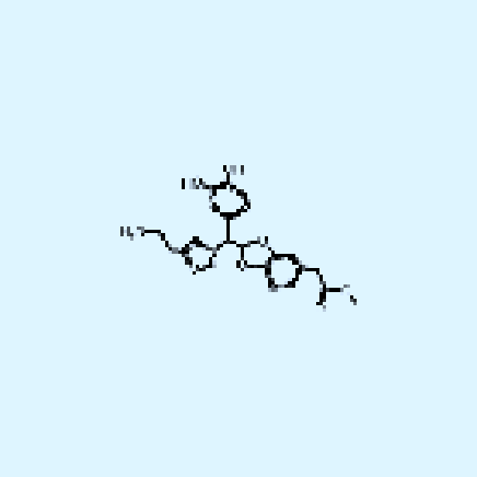 COC(=O)Cc1ccc2c(c1)OC(C(c1ccc(O)c(O)c1)n1cnc(CCN)c1)O2